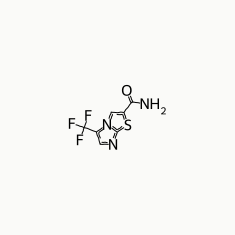 NC(=O)c1cn2c(C(F)(F)F)cnc2s1